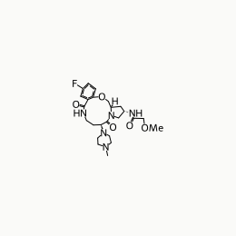 COCC(=O)N[C@H]1C[C@H]2COc3ccc(F)cc3C(=O)NCC[C@H](N3CCN(C)CC3)C(=O)N2C1